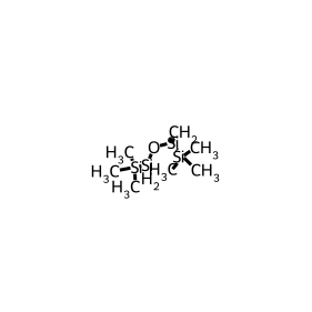 C=[Si](O[SiH2][Si](C)(C)C)[Si](C)(C)C